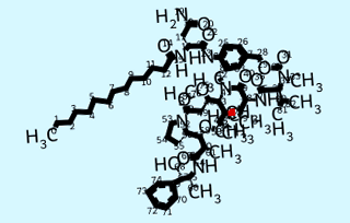 CCCCCCCCCCCCCC(=O)N[C@H](CC(N)=O)C(=O)Nc1ccc(COC(=O)N(C)[C@H](C(=O)N[C@H](C(=O)N(C)[C@@H]([C@@H](C)CC)[C@@H](CC(=O)N2CCC[C@H]2[C@H](OC)[C@@H](C)C(=O)N[C@H](C)[C@@H](O)c2ccccc2)OC)C(C)C)C(C)C)cc1